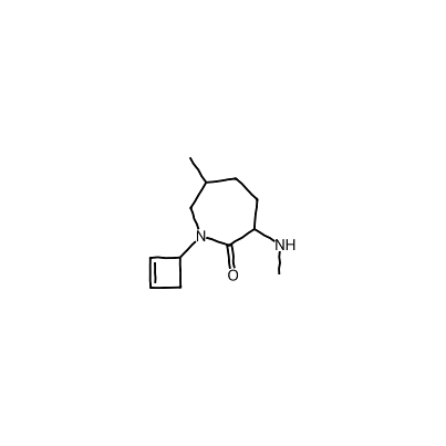 CNC1CCC(C)CN(C2C=CC2)C1=O